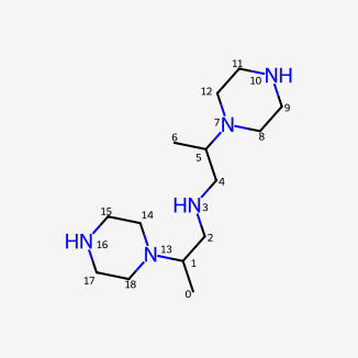 CC(CNCC(C)N1CCNCC1)N1CCNCC1